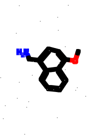 COc1ccc(CN)c2ccccc12